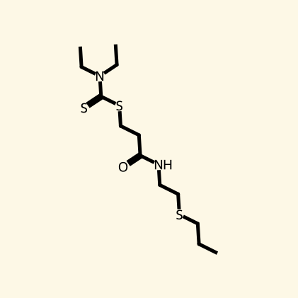 CCCSCCNC(=O)CCSC(=S)N(CC)CC